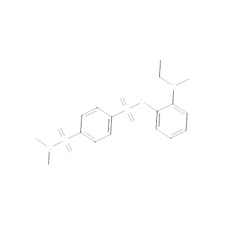 CCN(C)c1ccccc1NS(=O)(=O)c1ccc(S(=O)(=O)N(C)C)cc1